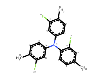 Cc1ccc(N(c2ccc(C)c(F)c2)c2ccc(C)c(F)c2)c(F)c1